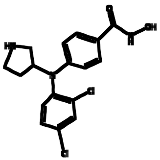 O=C(NO)c1ccc(N(c2ccc(Cl)cc2Cl)C2CCNC2)cc1